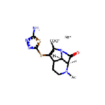 CC(=O)N1CCC2C(Sc3nnc(N)s3)=C(C(=O)[O-])N3C(=O)[C@@H]1[C@@H]23.[Na+]